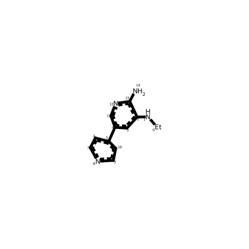 CCNc1cc(-c2ccncc2)cnc1N